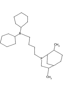 CC1CP(CCCCB(C2CCCCC2)C2CCCCC2)C2CC1CCC2C